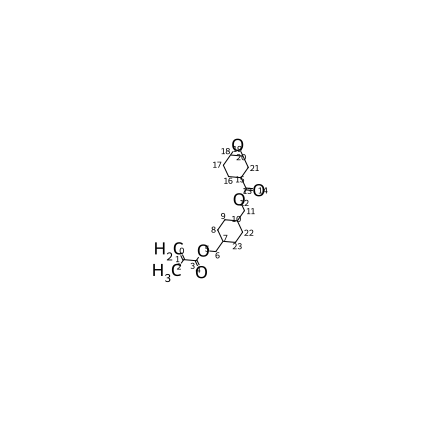 C=C(C)C(=O)OCC1CCC(COC(=O)C2CCC3OC3C2)CC1